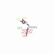 CCCCCCN(CCOc1ccc(CS)c(CS)c1)C[C@H](O)[C@@H](O)[C@H](O)[C@H](O)CO.Cl